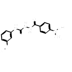 COc1cccc(NC(=S)NNC(=O)c2ccc(N(C)C)cc2)c1